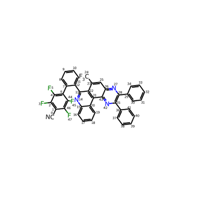 N#Cc1c(F)c(F)c(-c2ccccc2-c2nc3ccccc3c3c2c(C(F)(F)F)cc2nc(-c4ccccc4)c(-c4ccccc4)nc23)c(F)c1F